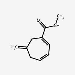 C=C1CC=CC=C(C(=O)NC)C1